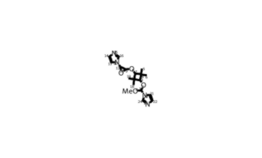 COC(OC1C(C)(C)C(OC2OC2n2ccnc2)C1(C)C)n1ccnc1